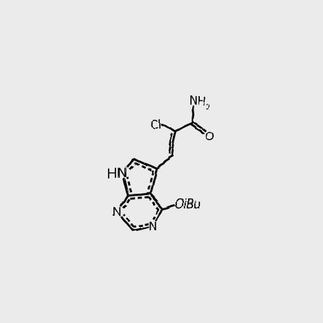 CC(C)COc1ncnc2[nH]cc(C=C(Cl)C(N)=O)c12